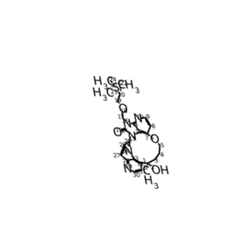 C[C@@]1(O)CCCOc2ccnc3c2n(c(=O)n3COCC[Si](C)(C)C)-c2ccc3nccc1c3n2